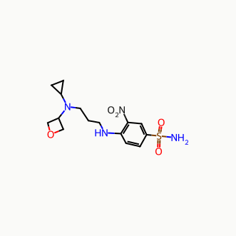 NS(=O)(=O)c1ccc(NCCCN(C2CC2)C2COC2)c([N+](=O)[O-])c1